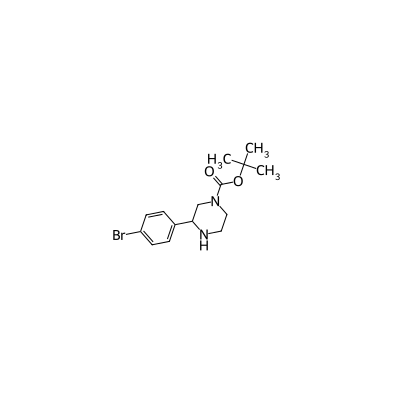 CC(C)(C)OC(=O)N1CCNC(c2ccc(Br)cc2)C1